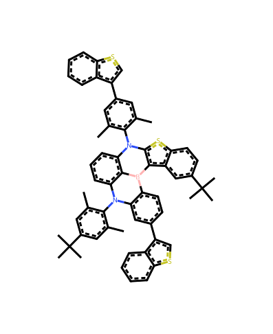 Cc1cc(C(C)(C)C)cc(C)c1N1c2cc(-c3csc4ccccc34)ccc2B2c3c1cccc3N(c1c(C)cc(-c3csc4ccccc34)cc1C)c1sc3ccc(C(C)(C)C)cc3c12